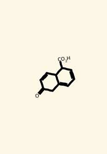 O=C1C=CC2C(=CC=CC2C(=O)O)C1